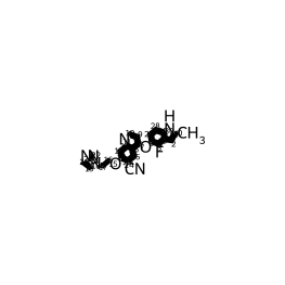 Cc1cc2c(F)c(Oc3ccnc4cc(OCCn5ccnn5)c(C#N)cc34)ccc2[nH]1